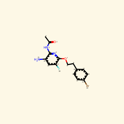 CC(=O)Nc1nc(OCCc2ccc(Br)cc2)c(F)cc1N